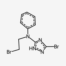 BrCCN(c1ccccc1)c1nc(Br)n[nH]1